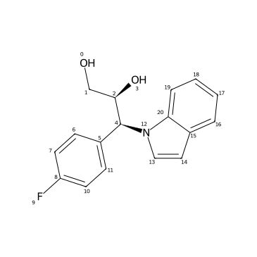 OC[C@@H](O)[C@H](c1ccc(F)cc1)n1ccc2ccccc21